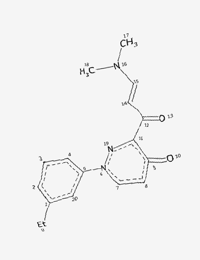 CCc1cccc(-n2ccc(=O)c(C(=O)C=CN(C)C)n2)c1